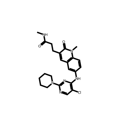 CNC(=O)CCc1cc2cc(Nc3nc(N4CCCCC4)ncc3Cl)ccc2n(C)c1=O